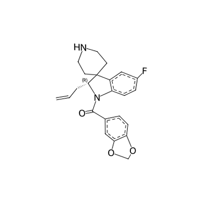 C=CC[C@H]1N(C(=O)c2ccc3c(c2)OCO3)c2ccc(F)cc2C12CCNCC2